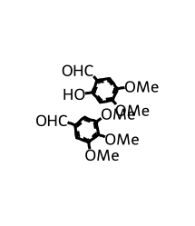 COc1cc(C=O)cc(OC)c1OC.COc1cc(O)c(C=O)cc1OC